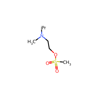 CC(C)N(C)CCOS(C)(=O)=O